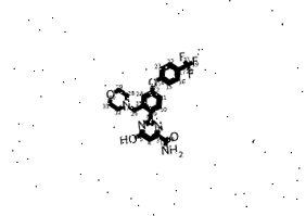 NC(=O)c1cc(O)nc(-c2ccc(Oc3ccc(C(F)(F)F)cc3)cc2CN2CCOCC2)n1